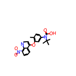 Cc1ccc(N(C(=O)O)C(C)(C)C)cc1Oc1ccnc2c([N+](=O)[O-])cccc12